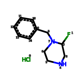 Cl.FC1CNCCN1Cc1ccccc1